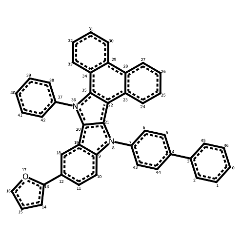 c1ccc(-c2ccc(-n3c4ccc(-c5ccco5)cc4c4c3c3c5ccccc5c5ccccc5c3n4-c3ccccc3)cc2)cc1